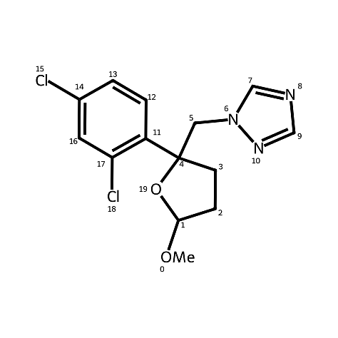 COC1CCC(Cn2cncn2)(c2ccc(Cl)cc2Cl)O1